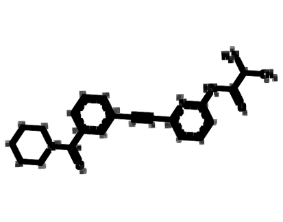 CC(N)C(=O)Nc1cccc(C#Cc2cccc(C(=O)N3CCCCC3)c2)n1